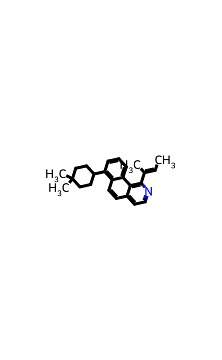 C/C=C(\C)c1nccc2ccc3c(C4CCC(C)(C)CC4)cccc3c12